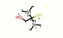 [CH3][SnH]([CH3])[C](S)(CO)[SnH]([CH3])[CH3]